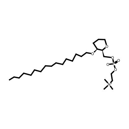 CCCCCCCCCCCCCCCCO[C@H]1CCCO[C@H]1COP(=O)([O-])OCC[N+](C)(C)C